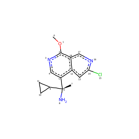 COc1ncc([C@](C)(N)C2CC2)c2cc(Cl)ncc12